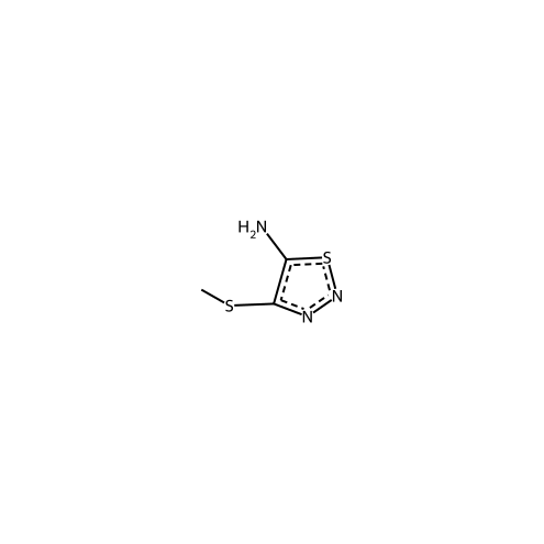 CSc1nnsc1N